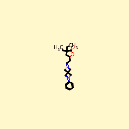 CCC1(CC)CC(CCN2CC3(C2)CN(c2ccccc2)C3)OC1=O